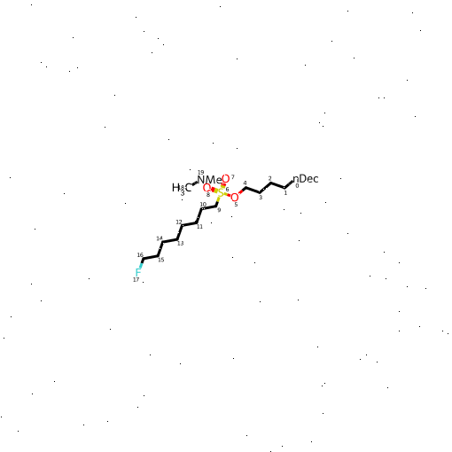 CCCCCCCCCCCCCCOS(=O)(=O)CCCCCCCCF.CNC